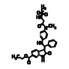 CCOC(=O)c1ccc2c(c1)NC(=O)C2=C(Nc1ccc(N(C)C(=O)CNS(C)(=O)=O)cc1)c1ccccc1